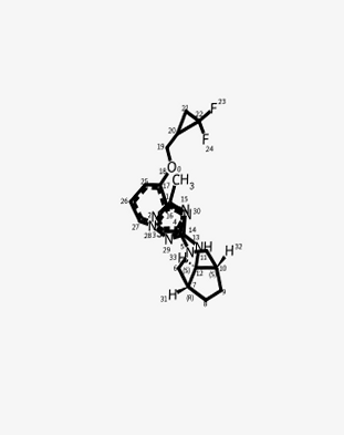 Cc1nsc(N2C[C@H]3CC[C@@H](C2)[C@@H]3Nc2nc3c(OCC4CC4(F)F)cccn3n2)n1